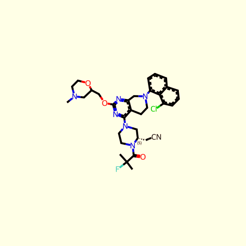 CN1CCOC(COc2nc3c(c(N4CCN(C(=O)C(C)(C)F)[C@@H](CC#N)C4)n2)CCN(c2cccc4cccc(Cl)c24)C3)C1